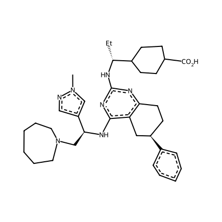 CC[C@@H](Nc1nc2c(c(N[C@@H](CN3CCCCCC3)c3cnn(C)c3)n1)C[C@H](c1ccccc1)CC2)C1CCC(C(=O)O)CC1